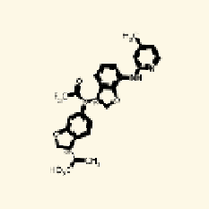 Cc1ccnc(Nc2cccc3c2OC[C@H]3N(C(=O)C(F)(F)F)c2ccc3c(c2)OC[C@H]3C(C)C(=O)O)c1